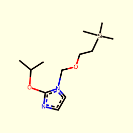 CC(C)Oc1nccn1COCC[Si](C)(C)C